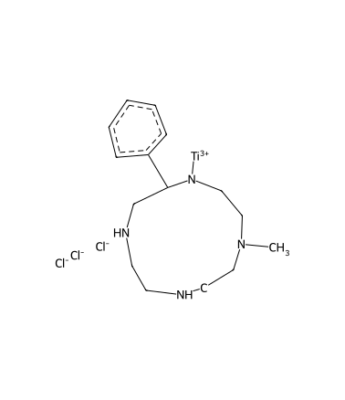 CN1CCNCCNCC(c2ccccc2)[N]([Ti+3])CC1.[Cl-].[Cl-].[Cl-]